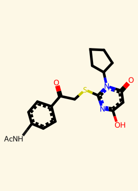 CC(=O)Nc1ccc(C(=O)CSc2nc(O)cc(=O)n2C2CCCC2)cc1